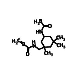 BC(=O)NC1CC(C)(C)CC(C)(CNC(=O)B=C)C1